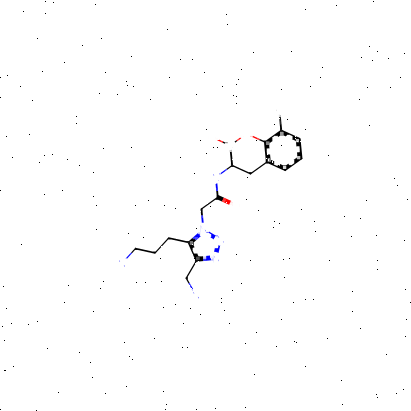 NCCCc1c(CN)nnn1CC(=O)NC1Cc2cccc(C(=O)O)c2OB1O